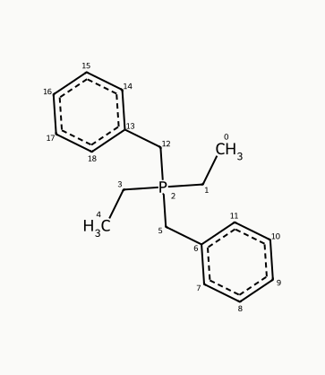 CC[P](CC)(Cc1ccccc1)Cc1ccccc1